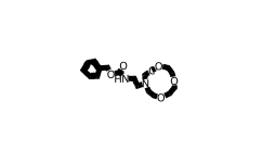 O=C(NCCN1CCOCCOCCOCC1)OCc1ccccc1